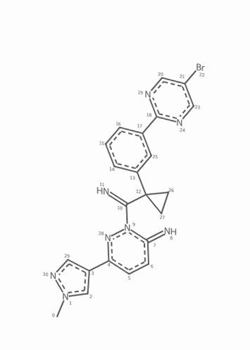 Cn1cc(-c2ccc(=N)n(C(=N)C3(c4cccc(-c5ncc(Br)cn5)c4)CC3)n2)cn1